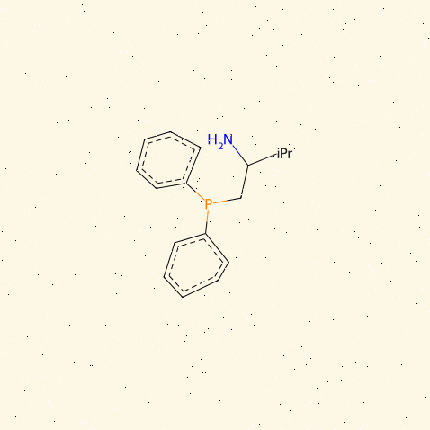 CC(C)C(N)CP(c1ccccc1)c1ccccc1